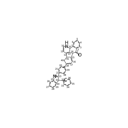 O=C1c2ccccc2C2NC=CC3=C2C1C1=CC=C(c2ccc(C4=Nc5ccccc5C4c4ccccc4)cc2)CC13